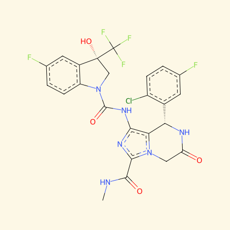 CNC(=O)c1nc(NC(=O)N2C[C@](O)(C(F)(F)F)c3cc(F)ccc32)c2n1CC(=O)N[C@H]2c1cc(F)ccc1Cl